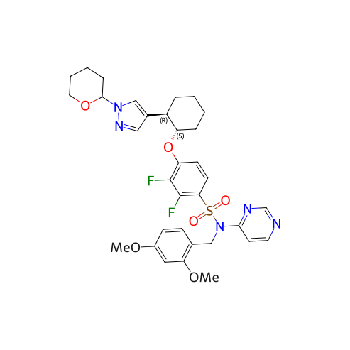 COc1ccc(CN(c2ccncn2)S(=O)(=O)c2ccc(O[C@H]3CCCC[C@@H]3c3cnn(C4CCCCO4)c3)c(F)c2F)c(OC)c1